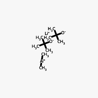 CC(C)(C)[O-].CC(C)(C)[O-].[CH3][Al+][CH3].[Li+]